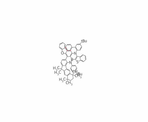 CC(C)(C)c1ccc(N2B3c4sc5ccccc5c4N(c4ccc(C(C)(C)C)cc4-c4ccccc4)c4cc5c(oc6ccccc65)c(c43)-c3ccc4c(c32)-c2cc3c(cc2C4(C)C)C(C)(C)CCC3(C)C)cc1